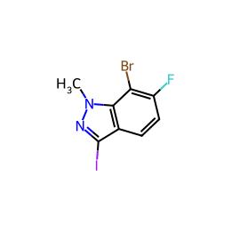 Cn1nc(I)c2ccc(F)c(Br)c21